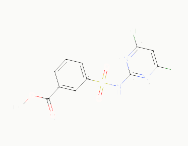 COC(=O)c1cccc(S(=O)(=O)Nc2nc(Cl)cc(Cl)n2)c1